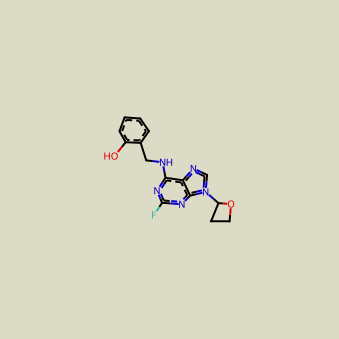 Oc1ccccc1CNc1nc(F)nc2c1ncn2C1CCO1